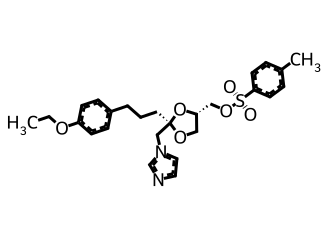 CCOc1ccc(CCC[C@@]2(Cn3ccnc3)OC[C@@H](COS(=O)(=O)c3ccc(C)cc3)O2)cc1